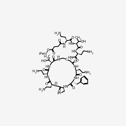 CCCC(C)OC(=O)CCC(=O)N[C@@H](CCN)C(=O)N[C@H](C(=O)N[C@@H](CCN)C(=O)N[C@H]1CCNC(=O)[C@H](C(C)O)NC(=O)[C@H](CCN)NC(=O)[C@H](CCN)NC(=O)[C@H](CC(C)C)NC(=O)[C@@H](Cc2ccccc2)NC(=O)[C@H](CCN)NC1=O)C(C)O